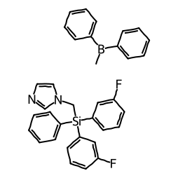 CB(c1ccccc1)c1ccccc1.Fc1cccc([Si](Cn2ccnc2)(c2ccccc2)c2cccc(F)c2)c1